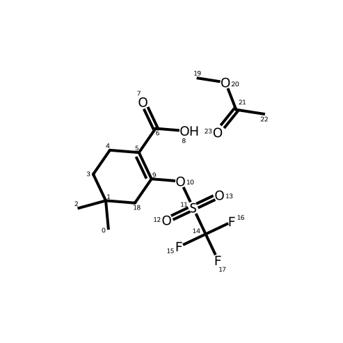 CC1(C)CCC(C(=O)O)=C(OS(=O)(=O)C(F)(F)F)C1.COC(C)=O